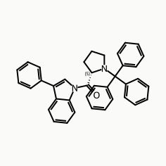 O=C([C@@H]1CCCN1C(c1ccccc1)(c1ccccc1)c1ccccc1)n1cc(-c2ccccc2)c2ccccc21